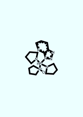 [O-][N+]1([PH](N2CCCC2)(N2CCCC2)n2nnc3cccnc32)CCCC1